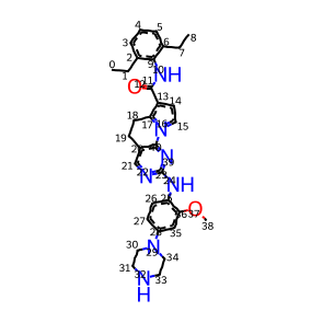 CCc1cccc(CC)c1NC(=O)c1ccn2c1CCc1cnc(Nc3ccc(N4CCNCC4)cc3OC)nc1-2